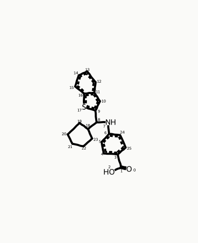 O=C(O)c1ccc(NC(c2cc3ccccc3s2)C2CCCCC2)cc1